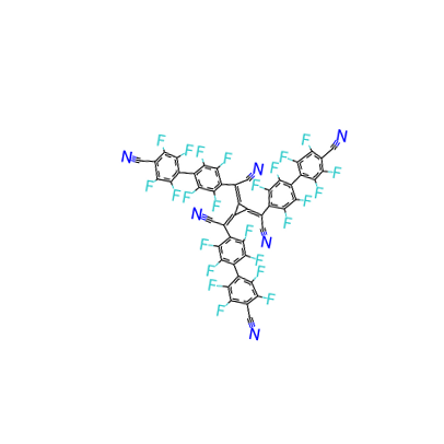 N#CC(=C1C(=C(C#N)c2c(F)c(F)c(-c3c(F)c(F)c(C#N)c(F)c3F)c(F)c2F)C1=C(C#N)c1c(F)c(F)c(-c2c(F)c(F)c(C#N)c(F)c2F)c(F)c1F)c1c(F)c(F)c(-c2c(F)c(F)c(C#N)c(F)c2F)c(F)c1F